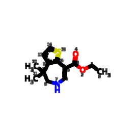 CCOC(=O)C1=CNCC(C)(C)c2ccsc21